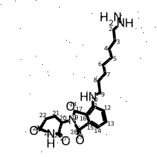 NNCCCCCCCCNc1cccc2c1C(=O)N(C1CCC(=O)NC1=O)C2=O